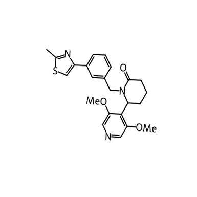 COc1cncc(OC)c1C1CCCC(=O)N1Cc1cccc(-c2csc(C)n2)c1